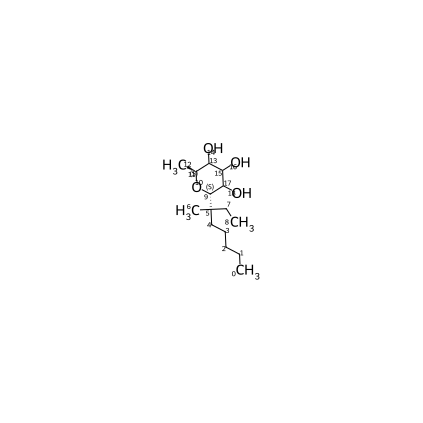 CCCCCC(C)(CC)[C@@H]1O[C@@H](C)C(O)C(O)C1O